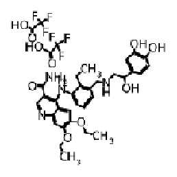 CCOc1cc2ncc(C(N)=O)c(Nc3cccc(CNCC(O)c4ccc(O)c(O)c4)c3CC)c2cc1OCC.O=C(O)C(F)(F)F.O=C(O)C(F)(F)F